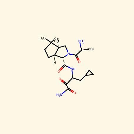 CC(C)(C)[C@H](N)C(=O)N1C[C@H]2[C@H](CCC2(C)C)[C@H]1C(=O)NC(CC1CC1)C(=O)C(N)=O